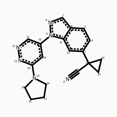 N#CC1(c2ccc3cnn(-c4cnnc(N5CCCC5)c4)c3c2)CC1